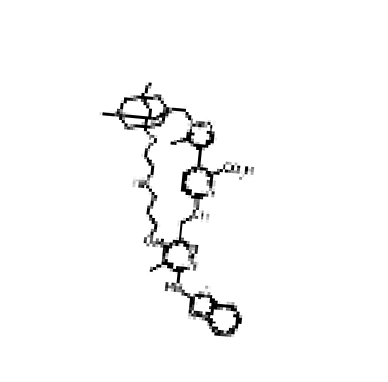 COCCCNCCOC12CC3(C)CC(C)(CC(Cn4ncc(-c5ccc(NCc6cc(C)c(Nc7nc8ccccc8s7)nn6)nc5C(=O)O)c4C)(C3)C1)C2